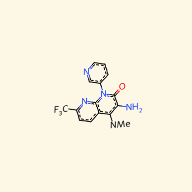 CNc1c(N)c(=O)n(-c2cccnc2)c2nc(C(F)(F)F)ccc12